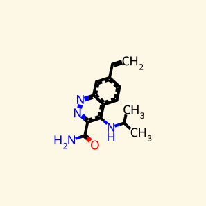 C=Cc1ccc2c(NC(C)C)c(C(N)=O)nnc2c1